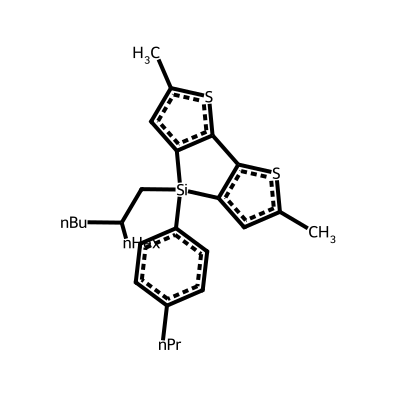 CCCCCCC(CCCC)C[Si]1(c2ccc(CCC)cc2)c2cc(C)sc2-c2sc(C)cc21